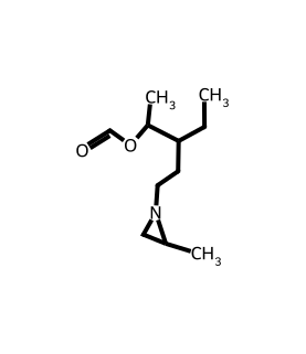 CCC(CCN1CC1C)C(C)OC=O